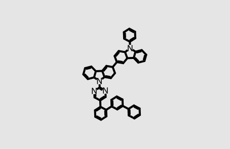 C1=CC2C3=CC(C4=CC5c6ccccc6N(c6ccccc6)C5C=C4)CC=C3N(c3ncc(-c4ccccc4-c4cccc(-c5ccccc5)c4)cn3)C2C=C1